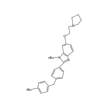 CCCCn1c(-c2ccc(Cc3ccc(C(C)(C)C)cc3)cc2)nc2ccc(OCCN3CCCC3)cc21